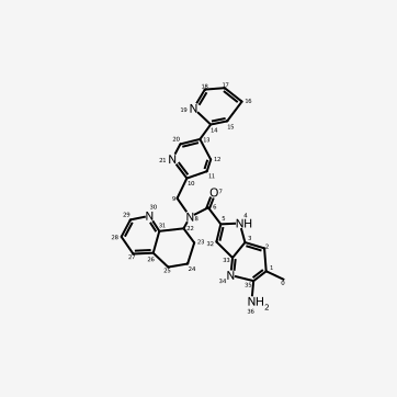 Cc1cc2[nH]c(C(=O)N(Cc3ccc(-c4ccccn4)cn3)C3CCCc4cccnc43)cc2nc1N